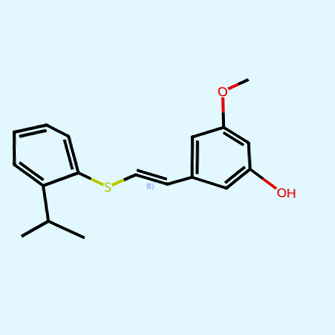 COc1cc(O)cc(/C=C/Sc2ccccc2C(C)C)c1